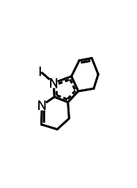 In1c2c(c3c1N=CCC3)CCC=C2